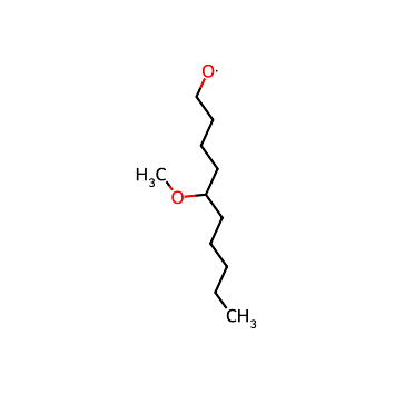 CCCCCC(CCCC[O])OC